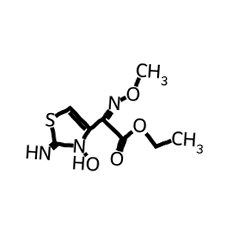 CCOC(=O)C(=NOC)c1csc(=N)n1O